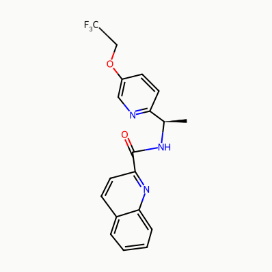 C[C@@H](NC(=O)c1ccc2ccccc2n1)c1ccc(OCC(F)(F)F)cn1